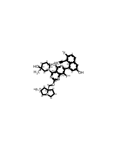 C#Cc1c(F)ccc2cc(O)cc(-c3nc(OC)c4c(N5CCC[C@@](C)(O)C5)nc(OC[C@@]56CCCN5C[C@H](F)C6)nc4c3F)c12